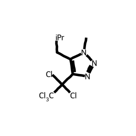 CC(C)Cc1c(C(Cl)(Cl)C(Cl)(Cl)Cl)nnn1C